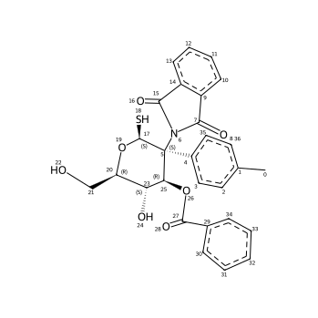 Cc1ccc([C@@]2(N3C(=O)c4ccccc4C3=O)[C@H](S)O[C@H](CO)[C@@H](O)[C@@H]2OC(=O)c2ccccc2)cc1